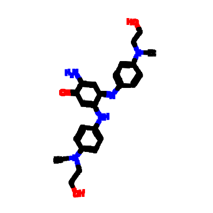 CCN(CCO)c1ccc(N=C2C=C(N)C(=O)C=C2Nc2ccc(N(CC)CCO)cc2)cc1